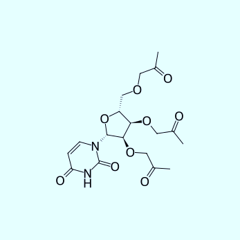 CC(=O)COC[C@H]1O[C@@H](n2ccc(=O)[nH]c2=O)[C@H](OCC(C)=O)[C@@H]1OCC(C)=O